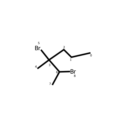 CCCC(C)(Br)C(C)Br